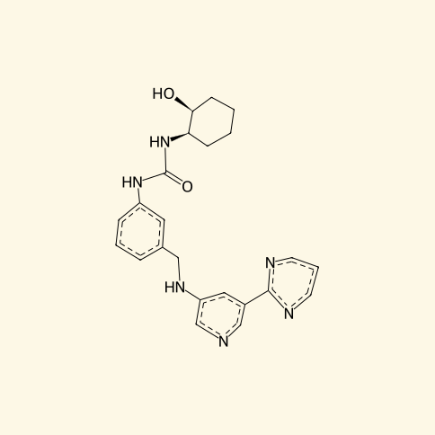 O=C(Nc1cccc(CNc2cncc(-c3ncccn3)c2)c1)N[C@@H]1CCCC[C@@H]1O